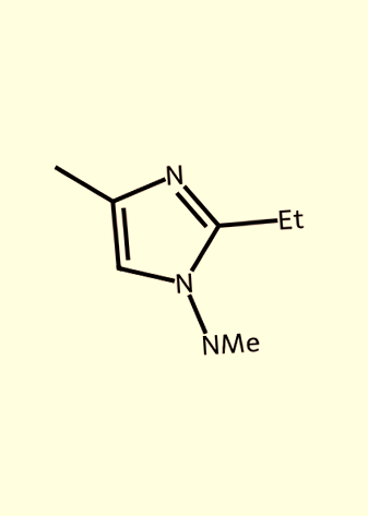 CCc1nc(C)cn1NC